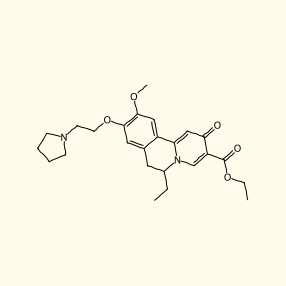 CCOC(=O)c1cn2c(cc1=O)-c1cc(OC)c(OCCN3CCCC3)cc1CC2CC